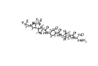 Cn1c(-c2cn(C3CC3(F)F)nc2C(F)(F)F)cnc1C(=O)Nc1ccc(C(=O)NC2[C@H]3CN(C(=O)NC(CN)CCl)C[C@@H]23)c(Cl)c1